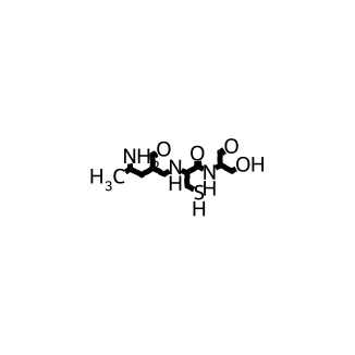 CC(N)CC(C=O)CNC(CS)C(=O)NC(C=O)CO